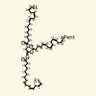 CC/C=C\C/C=C\C/C=C\CCCCCCCC(=O)OCC(COC(=O)CCCCCCC/C=C\C/C=C\C/C=C\CC)OC(=O)CCC/C=C\C/C=C\C/C=C\C/C=C\CCCCC